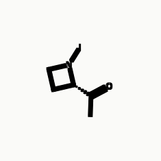 CC(=O)[C@@H]1CCN1I